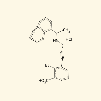 CCc1c(C#CCNC(C)c2cccc3ccccc23)cccc1C(=O)O.Cl